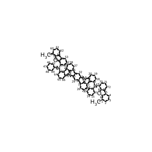 Cc1cccc2c1oc1c(N(c3ccccc3)c3cccc4c3c3cccc5c6cc7c(cc6n4c53)c3cccc4c5c(N(c6ccccc6)c6cccc8c6oc6c(C)cccc68)cccc5n7c34)cccc12